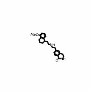 COc1cccc2c1CCCC2CCNCCc1ccc2c(c1)CCNC2=O